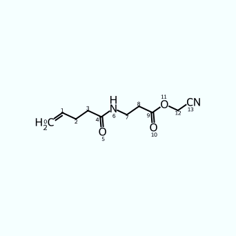 C=CCCC(=O)NCCC(=O)OCC#N